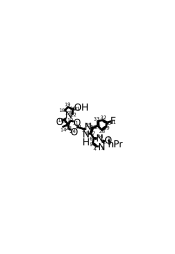 CCCOc1nccc(-c2[nH]c(C3OCC(C)(C(=O)N4CCC(O)C4)CO3)nc2-c2ccc(F)cc2)n1